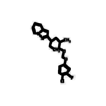 CCC(CC(C)COCOc1ccc(Cl)c(F)c1)c1cc2ccccn2n1